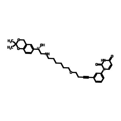 CC1(C)OCc2cc([C@H](O)CNCCCCCCOCCC#Cc3cccc(-n4ccc(=O)[nH]c4=O)c3)ccc2O1